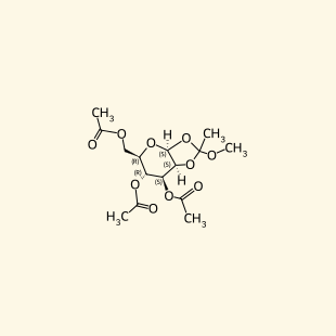 COC1(C)O[C@@H]2O[C@H](COC(C)=O)[C@@H](OC(C)=O)[C@H](OC(C)=O)[C@@H]2O1